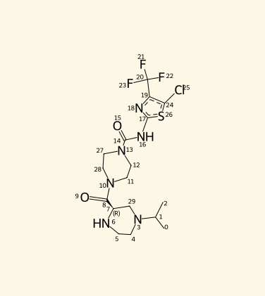 CC(C)N1CCN[C@@H](C(=O)N2CCN(C(=O)Nc3nc(C(F)(F)F)c(Cl)s3)CC2)C1